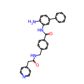 Nc1ccc(-c2ccccc2)cc1NC(=O)c1ccc(CNC(=O)Cc2ccncc2)cc1